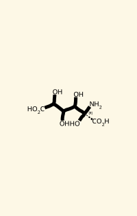 N[C@](O)(C(=O)O)C(O)C(O)C(O)C(=O)O